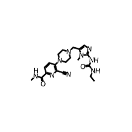 CCNC(=O)Nc1ncc(CN2CCN(c3ccc(C(=O)NC)nc3C#N)CC2)n1C